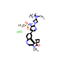 CN1C(=O)C2(CCC2)c2c1cnc1ccc(-c3cnc(N4CC(N(C)C)C4)c(NS(C)(=O)=O)c3)cc21.Cl